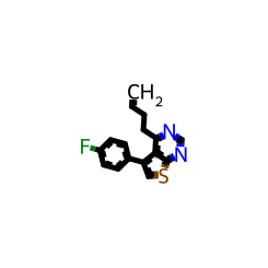 C=CCCc1ncnc2scc(-c3ccc(F)cc3)c12